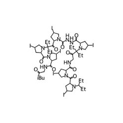 CCC(C)C(=O)CNC(=O)C1CC(I)CN1C(=O)C1CC(I)CN1C(CC)(CC)C(=O)C1CC(I)CN1C(=O)NNC(=O)C1CC(I)CN1C(CC)(CC)C(=O)CNC(=O)C1CC(I)CN1C(=O)C1CC(I)CN1C(CC)CC